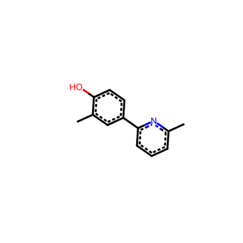 Cc1cccc(-c2ccc(O)c(C)c2)n1